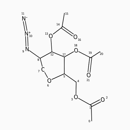 CC(=O)OCC1OCC(N=[N+]=[N-])C(OC(C)=O)C1OC(C)=O